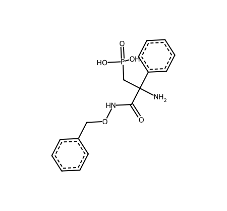 NC(CP(=O)(O)O)(C(=O)NOCc1ccccc1)c1ccccc1